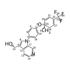 C[C@@]1(Oc2ccc(-n3cc(CO)c4ccncc43)cc2)C=CC(C(F)(F)F)=CC1